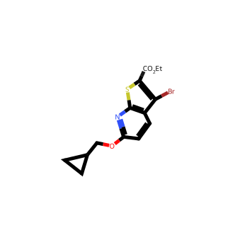 CCOC(=O)c1sc2nc(OCC3CC3)ccc2c1Br